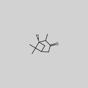 CC1C(=O)CC2C[C@@H]1C2(C)C